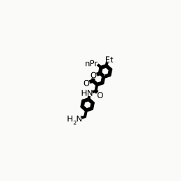 CCCc1c(CC)ccc2cc(C(=O)Nc3ccc(CN)cc3)c(=O)oc12